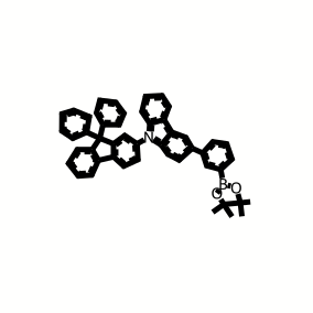 CC1(C)OB(c2cccc(-c3ccc4c(c3)c3ccccc3n4-c3ccc4c(c3)C(c3ccccc3)(c3ccccc3)c3ccccc3-4)c2)OC1(C)C